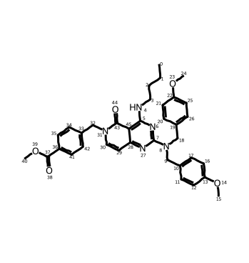 CCCCNc1nc(N(Cc2ccc(OC)cc2)Cc2ccc(OC)cc2)nc2ccn(Cc3ccc(C(=O)OC)cc3)c(=O)c12